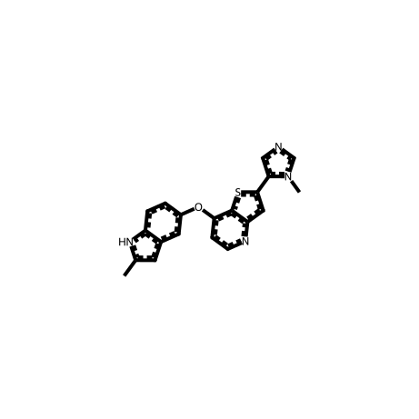 Cc1cc2cc(Oc3ccnc4cc(-c5cncn5C)sc34)ccc2[nH]1